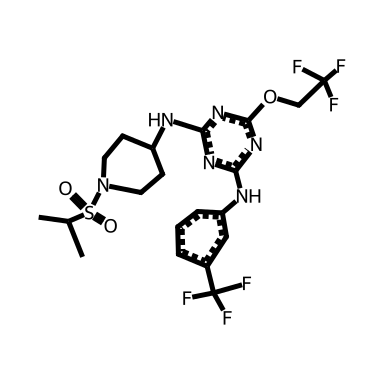 CC(C)S(=O)(=O)N1CCC(Nc2nc(Nc3cccc(C(F)(F)F)c3)nc(OCC(F)(F)F)n2)CC1